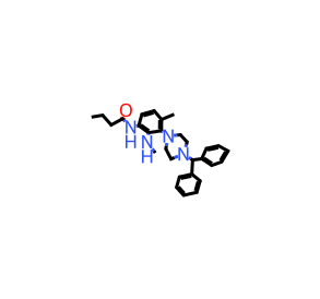 CCCC(=O)Nc1ccc(C)c(N2CCN(C(c3ccccc3)c3ccccc3)CC2)c1NC